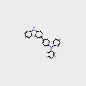 C1=CC2NC3CCC(C4=CC=C5C(C4)C4C=CC=CC4N5c4ccccc4)=CC3C2C=C1